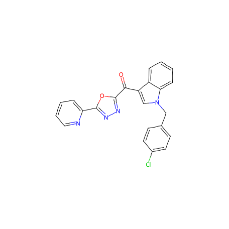 O=C(c1nnc(-c2ccccn2)o1)c1cn(Cc2ccc(Cl)cc2)c2ccccc12